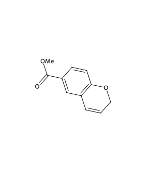 COC(=O)c1ccc2c(c1)C=CCO2